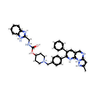 Cc1cc2ncc3cc(-c4ccccc4)c(-c4ccc(CN5CCC(OC(=O)NCc6nc7ccccc7[nH]6)CC5)cc4)nc3n2n1